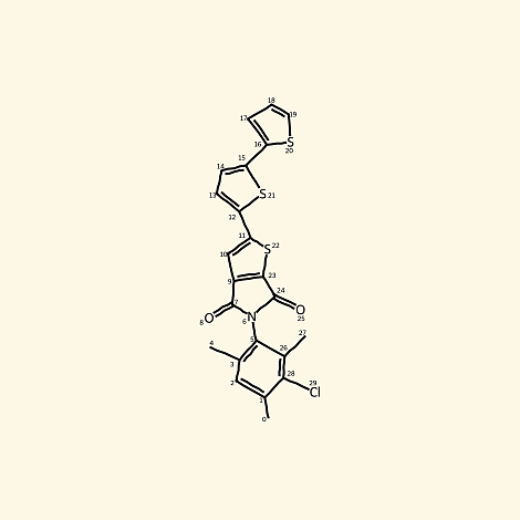 Cc1cc(C)c(N2C(=O)c3cc(-c4ccc(-c5cccs5)s4)sc3C2=O)c(C)c1Cl